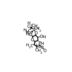 CC[C@H](C)C1OC(O)C(O[Si](C)(C)C(C)(C)C)[C@@H](O)[C@@H]1PBB=O